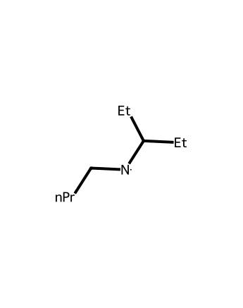 CCCC[N]C(CC)CC